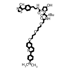 Cc1ncsc1-c1ccc(CCNC(=O)[C@@H]2C[C@H](O)CN2C(=O)[C@@H](NC(=O)COCCCOCCCOc2ccc3nc(-c4ccc(N(C)C)cc4)ccc3c2)C(C)(C)C)cc1